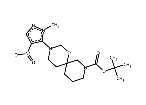 Cn1ncc([N+](=O)[O-])c1N1CCC2(CCCN(C(=O)OC(C)(C)C)C2)OC1